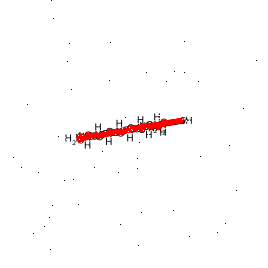 NC(=O)[C@H](CCCCNC(=O)COCCOCCNC(=O)COCCOCCNC(=O)COCCOCCNC(=O)COCCOCCNC(=O)COCCOCCNC(=O)[C@@H](N)CCCCNC(=O)[C@@H](N)CCCCNC(=O)CCCNC(=O)CCCCCCCCCCCCCCCS)NI